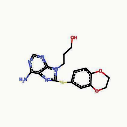 Nc1ncnc2c1nc(Sc1ccc3c(c1)OCCO3)n2CCCO